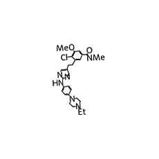 CCN1CCN(c2ccc(Nc3ncc(CCc4cc(C(=O)NC)cc(OC)c4Cl)cn3)cc2)CC1